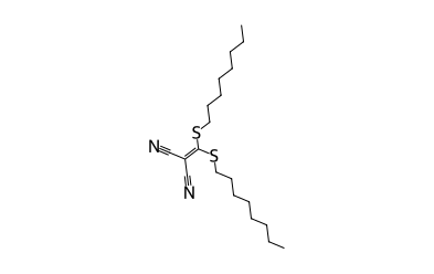 CCCCCCCCSC(SCCCCCCCC)=C(C#N)C#N